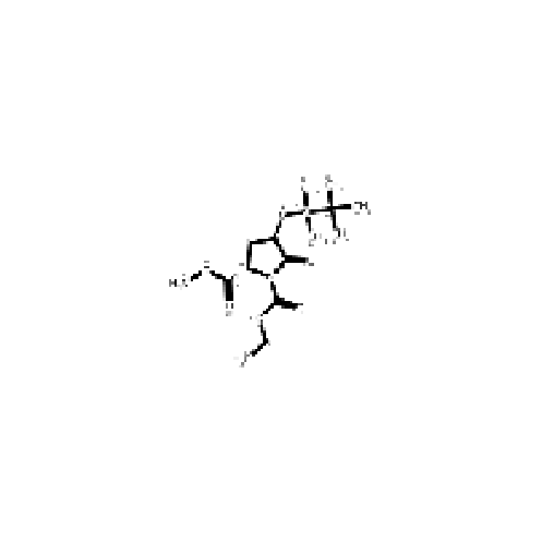 CCOC(=O)N1C(=O)[C@H](O[Si](C)(C)C(C)(C)C)C[C@H]1C(=O)OC